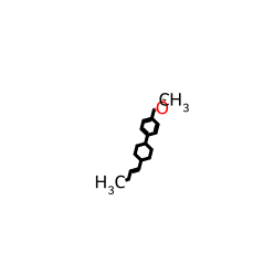 CCC=CC1CCC(c2ccc(COC)cc2)CC1